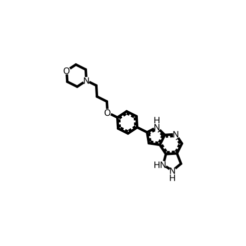 c1cc(-c2cc3c4c(cnc3[nH]2)CNN4)ccc1OCCCN1CCOCC1